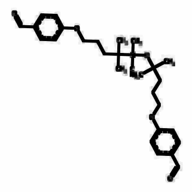 CC(C)(CCCOc1ccc(C=O)cc1)O[Si](C)(C)C(C)(C)CCCOc1ccc(C=O)cc1